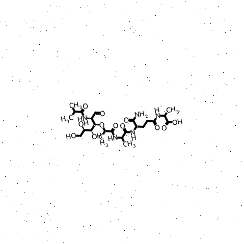 CC(C)C(=O)N[C@@H](C=O)[C@@H](OC(C)C(=O)NC(C)C(=O)NC(CCC(=O)NC(C)C(=O)O)C(N)=O)[C@H](O)[C@H](O)CO